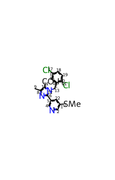 CSc1cncc(-c2nc(C)c(C(=O)O)n2Cc2cc(Cl)ccc2Cl)c1